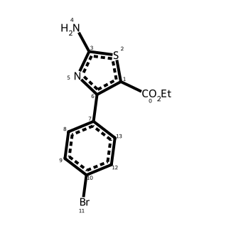 CCOC(=O)c1sc(N)nc1-c1ccc(Br)cc1